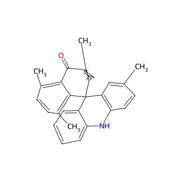 Cc1ccc2c(c1)C1(c3ccccc3N2)c2cccc(C)c2C(=O)c2c(C)ccc(C)c21